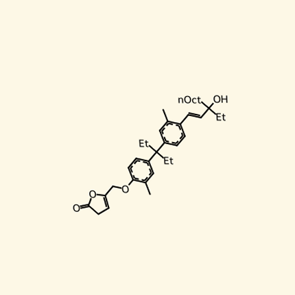 CCCCCCCCC(O)(C=Cc1ccc(C(CC)(CC)c2ccc(OCC3=CCC(=O)O3)c(C)c2)cc1C)CC